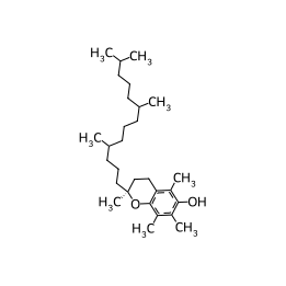 Cc1c(C)c2c(c(C)c1O)CC[C@](C)(CCCC(C)CCCC(C)CCCC(C)C)O2